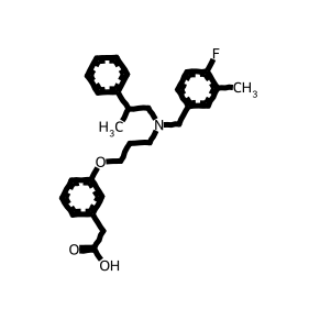 Cc1cc(CN(CCCOc2cccc(CC(=O)O)c2)CC(C)c2ccccc2)ccc1F